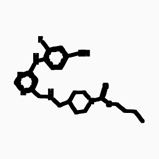 CCCCOC(=O)N1CCC(CNCc2cc(Nc3ccc(C#N)cc3F)ncn2)CC1